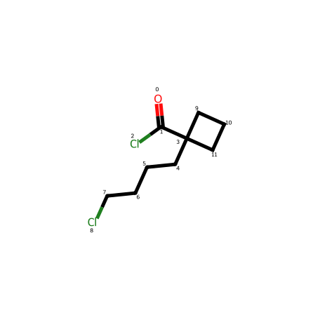 O=C(Cl)C1(CCCCCl)CCC1